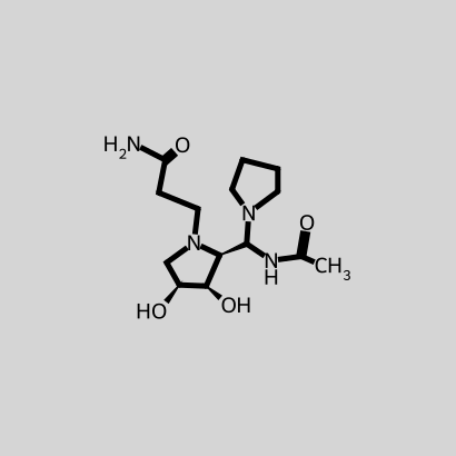 CC(=O)NC([C@H]1[C@@H](O)[C@@H](O)CN1CCC(N)=O)N1CCCC1